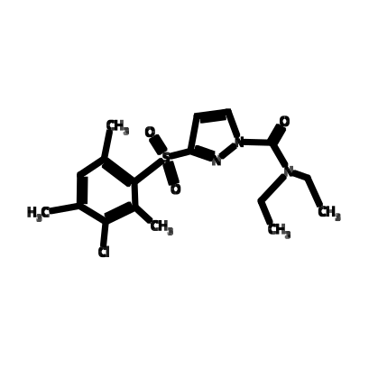 CCN(CC)C(=O)n1ccc(S(=O)(=O)c2c(C)cc(C)c(Cl)c2C)n1